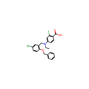 CCN(Cc1cc(Br)ccc1OCc1ccccc1)c1ccc(C(=O)O)c(F)c1